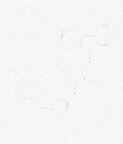 COc1ccc(Cn2cc(CN(C(=O)OCC3c4ccccc4-c4ccccc43)[C@H](C)C3CCC3)nn2)c(OC)c1